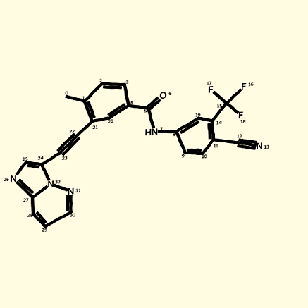 Cc1ccc(C(=O)Nc2ccc(C#N)c(C(F)(F)F)c2)cc1C#Cc1cnc2cccnn12